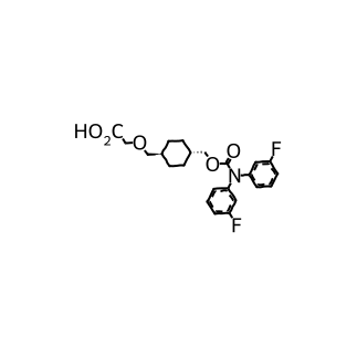 O=C(O)COC[C@H]1CC[C@H](COC(=O)N(c2cccc(F)c2)c2cccc(F)c2)CC1